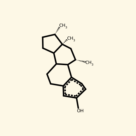 C[C@H]1C[C@@]2(C)C(CC[C@@H]2C)C2CCc3cc(O)ccc3C21